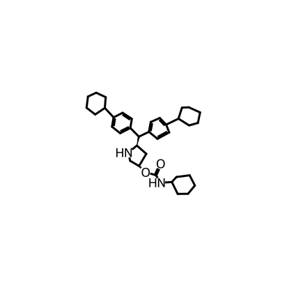 O=C(NC1CCCCC1)O[C@H]1CN[C@@H](C(c2ccc(C3CCCCC3)cc2)c2ccc(C3CCCCC3)cc2)C1